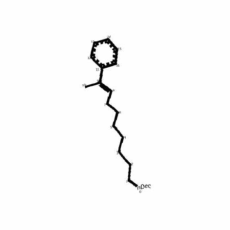 CCCCCCCCCCCCCCCCCC=C(C)c1ccccc1